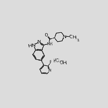 CN1CCC(C(=O)Nc2n[nH]c3ccc(-c4cccnc4F)cc23)CC1.Cl.Cl